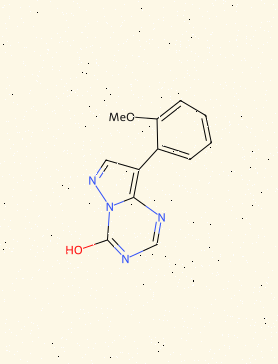 COc1ccccc1-c1cnn2c(O)ncnc12